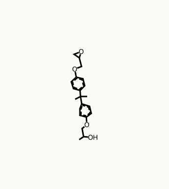 CC(O)COc1ccc(C(C)(C)c2ccc(OCC3CO3)cc2)cc1